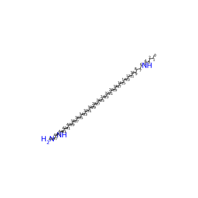 CCCCCNCCCCCCCCCCCCCCCCCCCCCCCCCCCCCCCCCCCCCCCNCCN